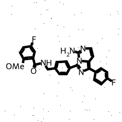 COc1ccc(F)cc1C(=O)NCc1ccc(-c2nc(-c3ccc(F)cc3)c3ccnc(N)n23)cc1